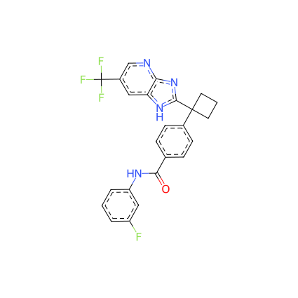 O=C(Nc1cccc(F)c1)c1ccc(C2(c3nc4ncc(C(F)(F)F)cc4[nH]3)CCC2)cc1